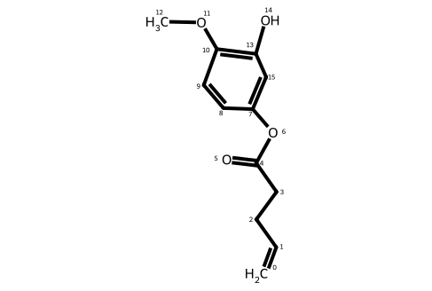 C=CCCC(=O)Oc1ccc(OC)c(O)c1